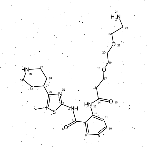 Cc1sc(NC(=O)c2ccccc2NC(=O)CCOCCOCCN)nc1C1CCNCC1